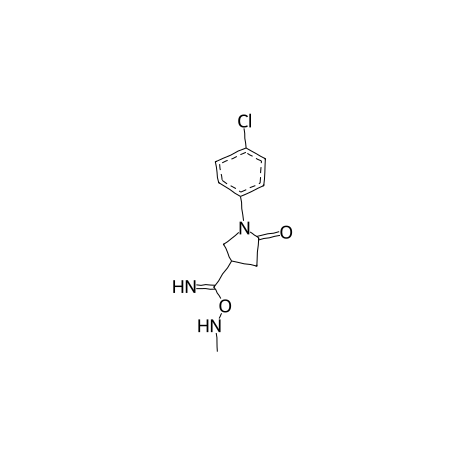 CNOC(=N)C1CC(=O)N(c2ccc(Cl)cc2)C1